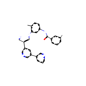 Cc1ccc(NC(=O)c2cccc(C(F)(F)F)c2)cc1N/C=C(\C=N)c1cncc(-c2cccnc2)c1